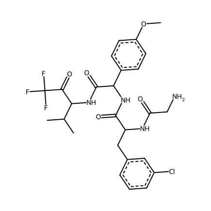 COc1ccc(C(NC(=O)C(Cc2cccc(Cl)c2)NC(=O)CN)C(=O)NC(C(=O)C(F)(F)F)C(C)C)cc1